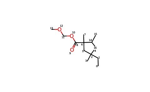 CCC(C)(C)CC(C)(C(=O)OCOC)C(C)C